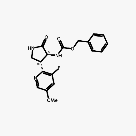 COc1cnc([C@@H]2CNC(=O)[C@H]2NC(=O)OCc2ccccc2)c(F)c1